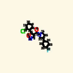 O=C(c1cnoc1-c1ccccc1Cl)N1CCC(c2ccc(F)cc2)C1